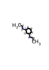 C/C=C/c1cccc(/C=C/C)c1